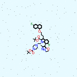 Cc1nn2c(c1-c1c(F)ccc3c(CCCOc4cccc5cc(F)ccc45)c(C(=O)OC(C)(C)C)n(CCN4CCN(C(=O)OC(C)(C)C)CC4)c13)OCC2